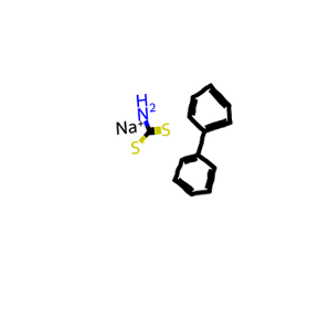 NC(=S)[S-].[Na+].c1ccc(-c2ccccc2)cc1